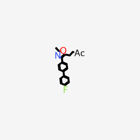 CC(=O)CCc1oc(C)nc1-c1ccc(-c2ccc(F)cc2)cc1